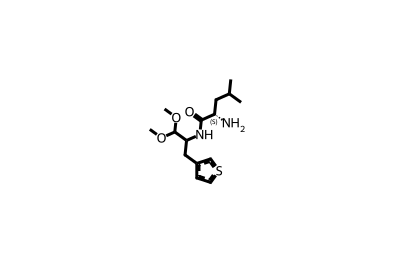 COC(OC)C(Cc1ccsc1)NC(=O)[C@@H](N)CC(C)C